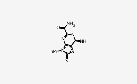 CCCn1c2c(sc1=S)C(=N)[N]C(C(N)=O)=N2